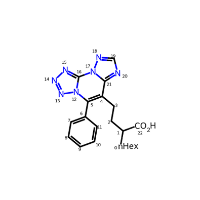 CCCCCCC(CCc1c(-c2ccccc2)n2nnnc2n2ncnc12)C(=O)O